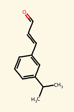 CC(C)c1cccc(/C=C/C=O)c1